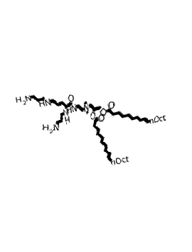 CCCCCCCC/C=C/CCCCCCCC(=O)OCC(C[N+](C)(C)CCNC(=O)C(CCCNCCCN)NCCCN)OC(=O)CCCCCCC/C=C/CCCCCCCC